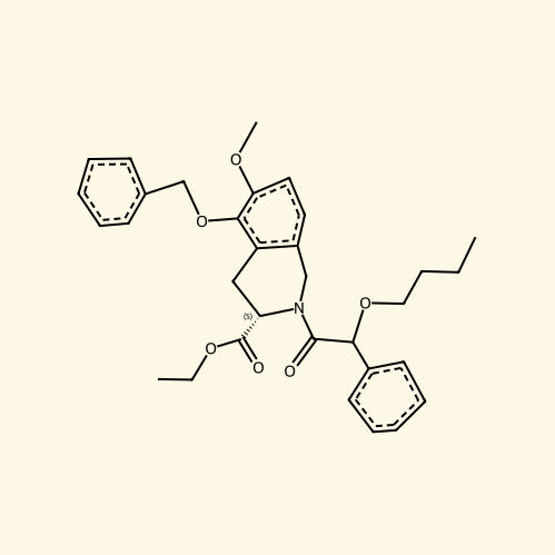 CCCCOC(C(=O)N1Cc2ccc(OC)c(OCc3ccccc3)c2C[C@H]1C(=O)OCC)c1ccccc1